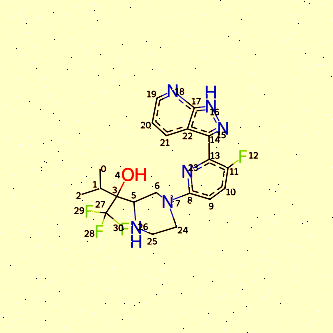 CC(C)C(O)(C1CN(c2ccc(F)c(-c3n[nH]c4ncccc34)n2)CCN1)C(F)(F)F